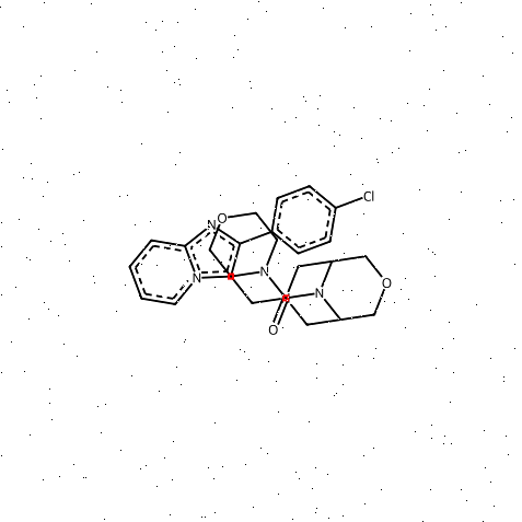 O=C(N1CCOCC1)N1C2COCC1CN(Cc1c(-c3ccc(Cl)cc3)nc3ccccn13)C2